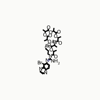 CC(=O)CCCN(C(=O)C(C)OC(=O)C(C)OC(=O)C(C)OC(=O)C(C)OC(=O)C(C)OC(=O)C(C)OC(C)=O)/C(N)=N/c1ccc2nccnc2c1Br